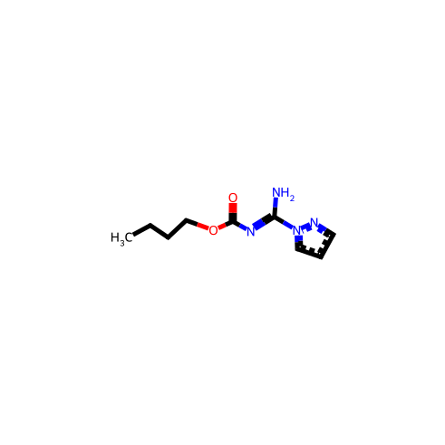 CCCCOC(=O)N=C(N)n1cccn1